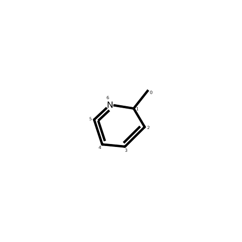 CC1C=CC=C=N1